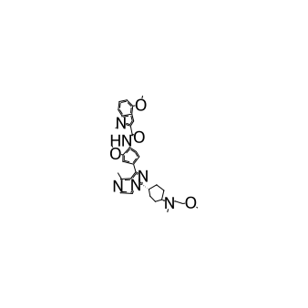 COCCN(C)[C@H]1CC[C@H](c2nc(-c3ccc(NC(=O)c4cc5c(OC)cccc5n4C)c(OC)c3)c3c(C)nccn32)CC1